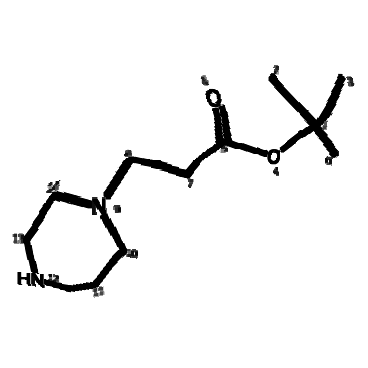 CC(C)(C)OC(=O)CCN1CCNCC1